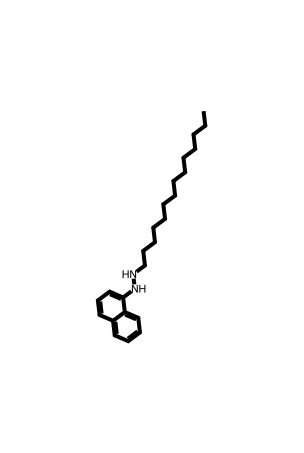 CCCCCCCCCCCCCCNNc1cccc2ccccc12